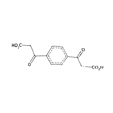 O=C(O)CC(=O)c1ccc(C(=O)CC(=O)O)cc1